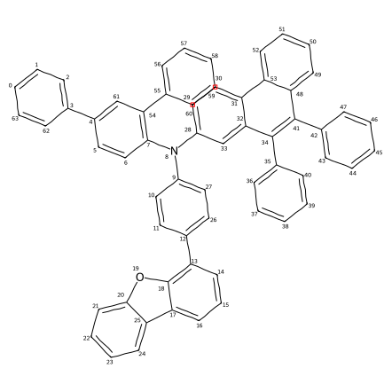 c1ccc(-c2ccc(N(c3ccc(-c4cccc5c4oc4ccccc45)cc3)c3ccc4c(c3)c(-c3ccccc3)c(-c3ccccc3)c3ccccc34)c(-c3ccccc3)c2)cc1